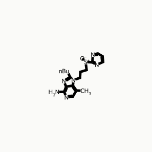 CCCCc1nc2c(N)ncc(C)c2n1CCC[S+]([O-])c1ncccn1